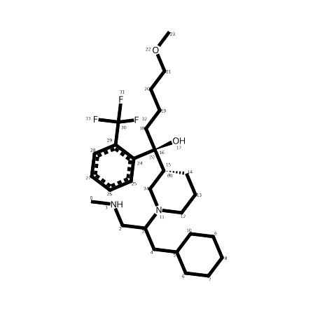 CNCC(CC1CCCCC1)N1CCC[C@@H]([C@@](O)(CCCCOC)c2ccccc2C(F)(F)F)C1